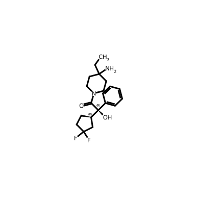 CCC1(N)CCN(C(=O)[C@](O)(c2ccccc2)[C@@H]2CCC(F)(F)C2)CC1